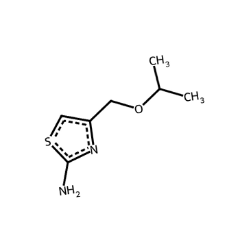 CC(C)OCc1csc(N)n1